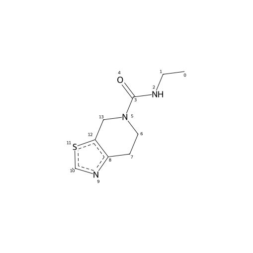 CCNC(=O)N1CCc2n[c]sc2C1